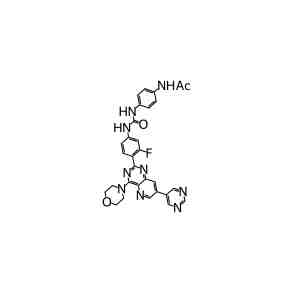 CC(=O)Nc1ccc(NC(=O)Nc2ccc(-c3nc(N4CCOCC4)c4ncc(-c5cncnc5)cc4n3)c(F)c2)cc1